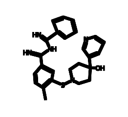 Cc1ccc(C(=N)NC(=N)c2ccccc2)cc1SN1CCC(O)(c2cccnc2)CC1